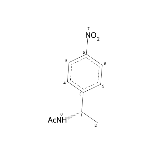 CC(=O)N[C@@H](C)c1ccc([N+](=O)[O-])cc1